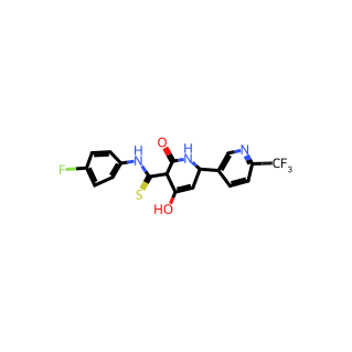 O=C1NC(c2ccc(C(F)(F)F)nc2)C=C(O)C1C(=S)Nc1ccc(F)cc1